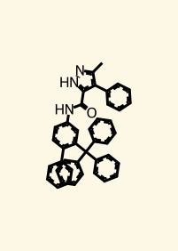 Cc1n[nH]c(C(=O)Nc2ccc(-c3ccccc3)c(C(c3ccccc3)(c3ccccc3)c3ccccc3)c2)c1-c1ccccc1